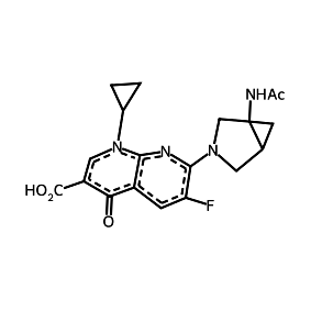 CC(=O)NC12CC1CN(c1nc3c(cc1F)c(=O)c(C(=O)O)cn3C1CC1)C2